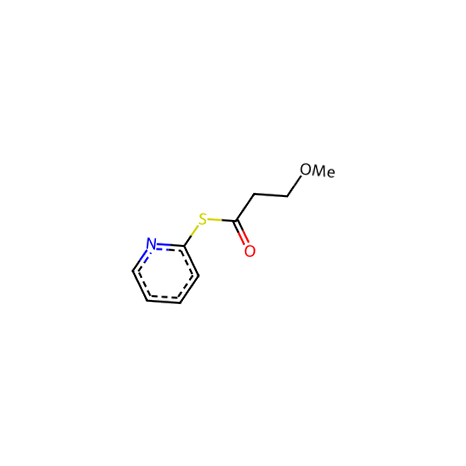 COCCC(=O)Sc1ccccn1